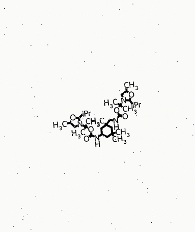 CC1CN(C(C)(C)OC(=O)NCC2(C)CC(NC(=O)OC(C)(C)N3CC(C)OC3C(C)C)CC(C)(C)C2)C(C(C)C)O1